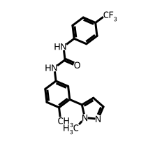 Cc1ccc(NC(=O)Nc2ccc(C(F)(F)F)cc2)cc1-c1ccnn1C